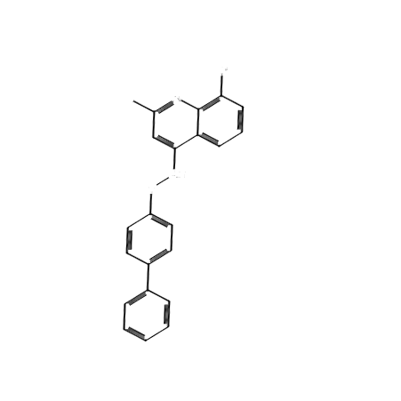 Cc1c[c]([AlH][O]c2ccc(-c3ccccc3)cc2)c2cccc(O)c2n1